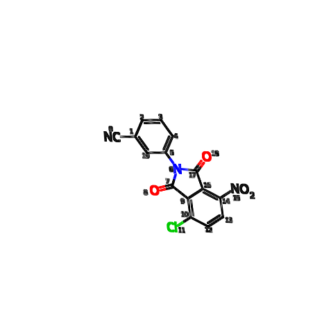 N#Cc1cccc(N2C(=O)c3c(Cl)ccc([N+](=O)[O-])c3C2=O)c1